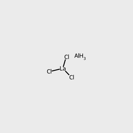 [AlH3].[Cl][La]([Cl])[Cl]